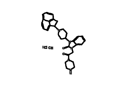 Cl.Cl.O=C(Cn1c(=O)n(C2CCN(C3Cc4cccc5cccc3c45)CC2)c2ccccc21)N1CCNCC1